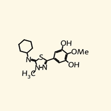 COc1c(O)cc(-c2nn(C)c(=NC3CCCCC3)s2)cc1O